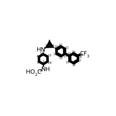 O=C(O)N[C@H]1CC[C@H](N[C@H]2C[C@@H]2c2ccc(-c3cccc(C(F)(F)F)c3)cc2)CC1